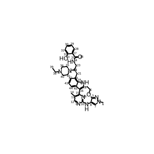 CCOc1nn(C)cc1Nc1ncc(C)c(-c2c[nH]c3c(C[C@H](CNC(=O)c4ccccc4O)N4CCN(CC)CC4)cccc23)n1